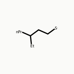 CCCC(CC)CC[S]